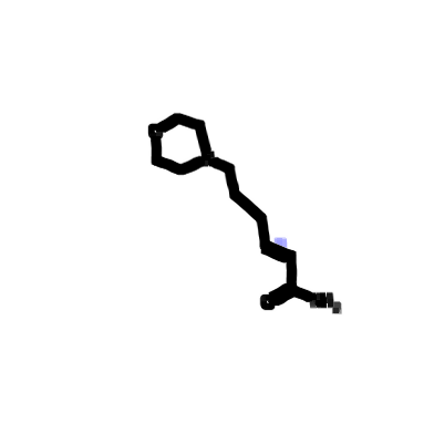 NC(=O)/C=C/CCCN1CCOCC1